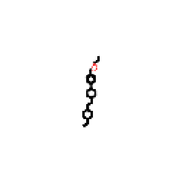 C=CCOCc1ccc(C2CCC(CCC3CCC(C=C)CC3)CC2)cc1